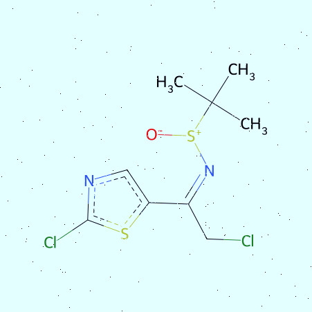 CC(C)(C)[S+]([O-])/N=C(/CCl)c1cnc(Cl)s1